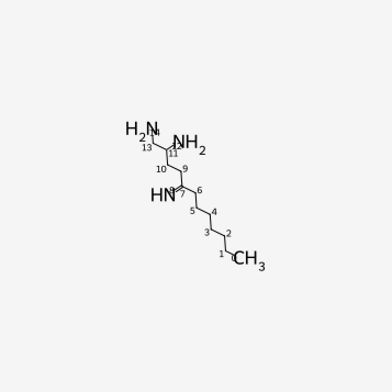 CCCCCCCC(=N)CCC(N)CN